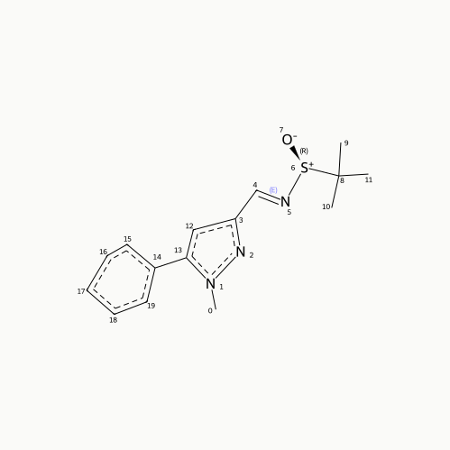 Cn1nc(/C=N/[S@@+]([O-])C(C)(C)C)cc1-c1ccccc1